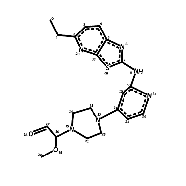 CCc1ccc2nc(Nc3cc(N4CCN(C(C=O)OC)CC4)ccn3)sc2n1